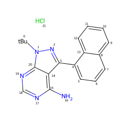 CC(C)(C)n1nc(-c2cccc3ccccc23)c2c(N)ncnc21.Cl